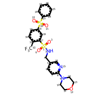 O=S(=O)(NCc1ccc(N2CCOCC2)nc1)c1cc(S(=O)(=O)c2ccccc2)ccc1C(F)(F)F